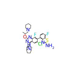 CC(CN1CCCCC1)Oc1nc(C2=CC3CCC(C2)N3)c2cc(Cl)c(-c3ccc(F)c4sc(N)nc34)c(F)c2n1